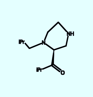 CC(C)CN1CCNC[C@H]1C(=O)C(C)C